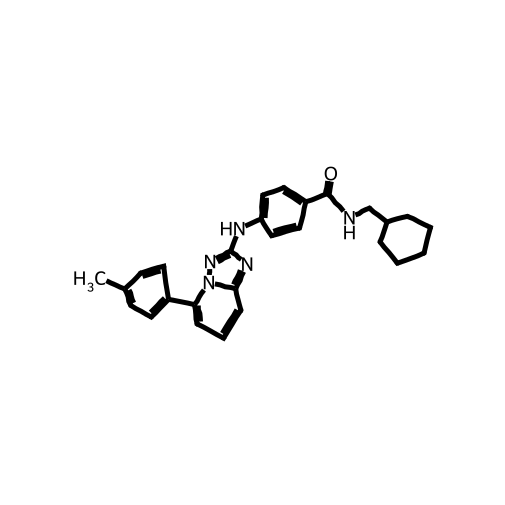 Cc1ccc(-c2cccc3nc(Nc4ccc(C(=O)NCC5CCCCC5)cc4)nn23)cc1